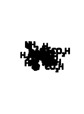 CC(C)C[C@H](NC(=O)[C@H](Cc1c[nH]c2ccccc12)NC(=O)[C@@H](N)CCCCN)C(=O)N[C@@H](CCC(=O)O)C(=O)N[C@@H](CO)C(=O)N[C@H](C(=O)O)[C@@H](C)O